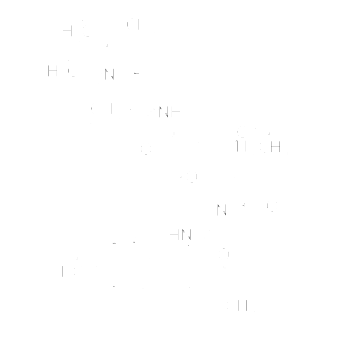 CCC[C@@H](NC(=O)N1C(=O)C(CC)(CC)C1OCC(=O)NCCN(C(C)C)C(C)C)c1ccc(C)cc1